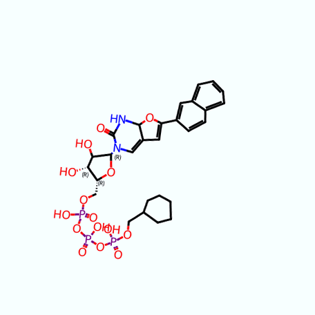 O=C1NC2OC(c3ccc4ccccc4c3)=CC2=CN1[C@@H]1O[C@H](COP(=O)(O)OP(=O)(O)OP(=O)(O)OCC2CCCCC2)[C@H](O)C1O